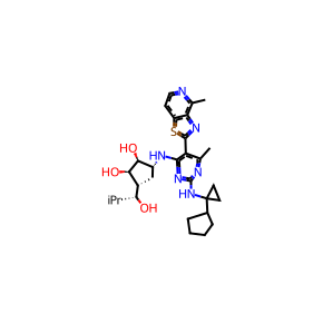 Cc1nc(NC2(C3CCCC3)CC2)nc(N[C@@H]2C[C@H]([C@H](O)C(C)C)[C@@H](O)[C@H]2O)c1-c1nc2c(C)nccc2s1